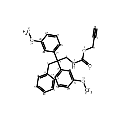 C#CCOC(=O)NCC(Cc1ccccc1)(c1cccc(OC(F)(F)F)c1)c1cccc(OC(F)(F)F)c1